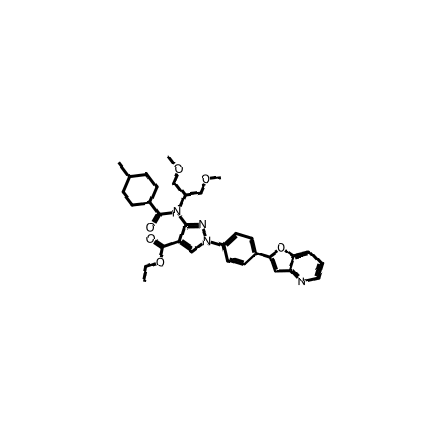 CCOC(=O)c1cn(-c2ccc(-c3cc4ncccc4o3)cc2)nc1N(C(=O)C1CCC(C)CC1)C(COC)COC